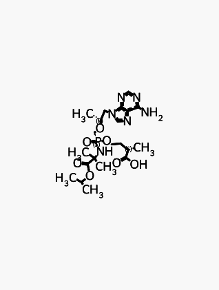 CC(C)OC(=O)C(C)(C)N[P@](=O)(CO[C@H](C)Cn1cnc2c(N)ncnc21)OCC[C@H](C)C(=O)O